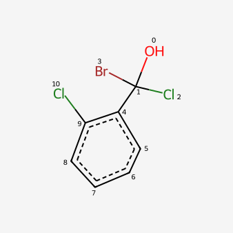 OC(Cl)(Br)c1ccccc1Cl